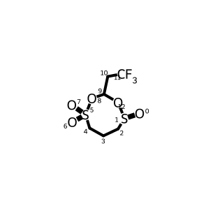 O=S1CCCS(=O)(=O)OC(CC(F)(F)F)O1